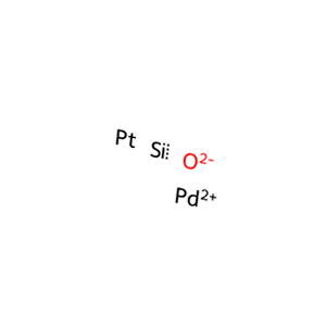 [O-2].[Pd+2].[Pt].[Si]